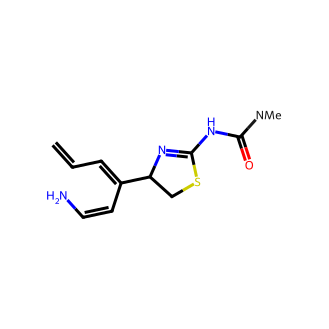 C=C/C=C(\C=C/N)C1CSC(NC(=O)NC)=N1